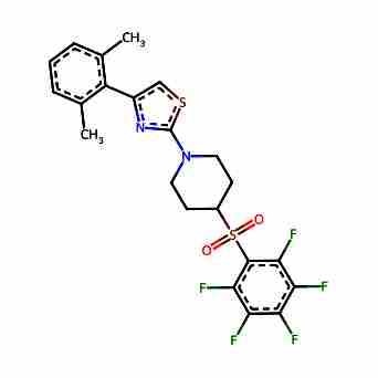 Cc1cccc(C)c1-c1csc(N2CCC(S(=O)(=O)c3c(F)c(F)c(F)c(F)c3F)CC2)n1